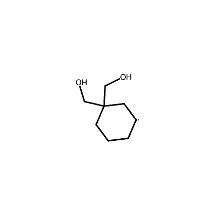 OCC1(CO)C[CH]CCC1